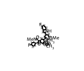 CNC(=O)c1c(-c2ccc(F)cc2)oc2cc(N(C)S(C)(=O)=O)c(-c3cc(-c4cc5cc(F)ccc5[nH]4)cc(OC)n3)cc12